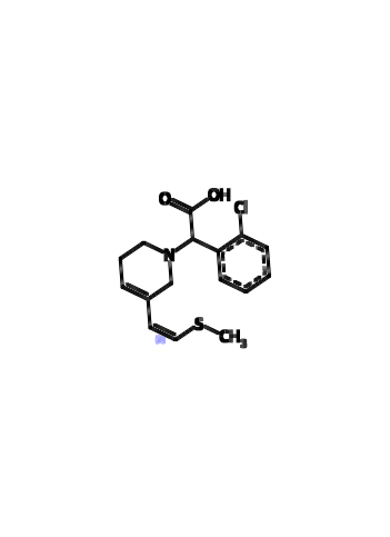 CS/C=C\C1=CCCN(C(C(=O)O)c2ccccc2Cl)C1